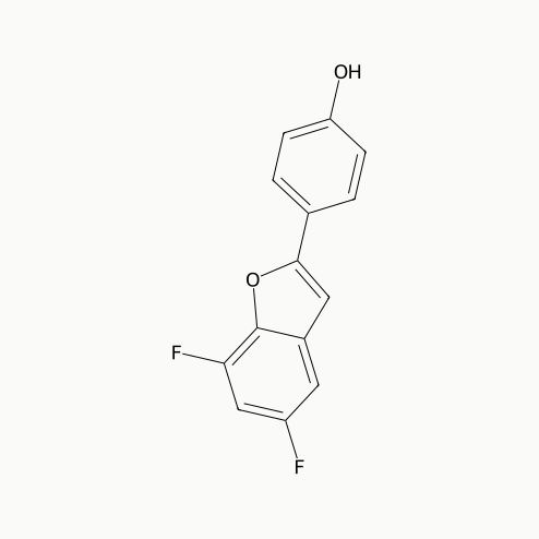 Oc1ccc(-c2cc3cc(F)cc(F)c3o2)cc1